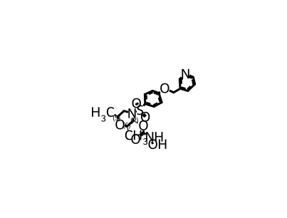 C[C@@H]1O[C@@H](C)CN(S(=O)(=O)c2ccc(OCc3cccnc3)cc2)[C@@H]1OC(=O)NO